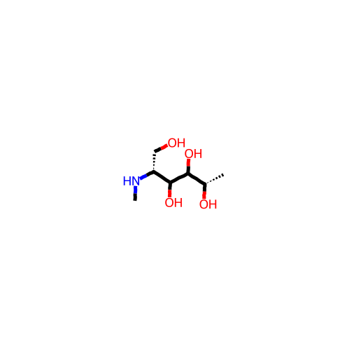 CN[C@H](CO)C(O)C(O)[C@H](C)O